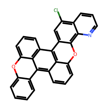 Clc1cc2c(oc3cccc4c3c2c2cccc3oc5ccccc5c4c32)c2ncccc12